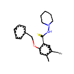 Cc1cc(OCc2ccccc2)c(C(=S)NN2CCCCC2)cc1C(C)C